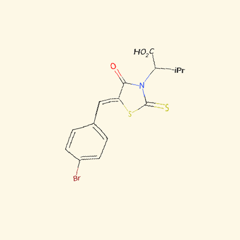 CC(C)C(C(=O)O)N1C(=O)C(=Cc2ccc(Br)cc2)SC1=S